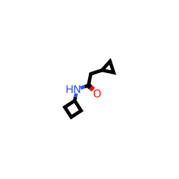 O=C(CC1CC1)NC1CCC1